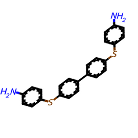 Nc1ccc(Sc2ccc(-c3ccc(Sc4ccc(N)cc4)cc3)cc2)cc1